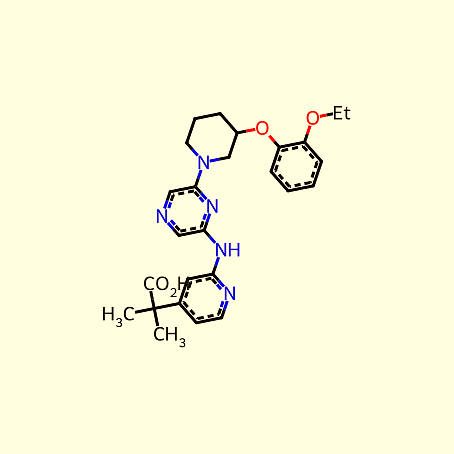 CCOc1ccccc1OC1CCCN(c2cncc(Nc3cc(C(C)(C)C(=O)O)ccn3)n2)C1